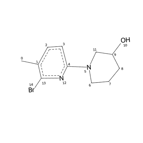 Cc1ccc(N2CCCC(O)C2)nc1Br